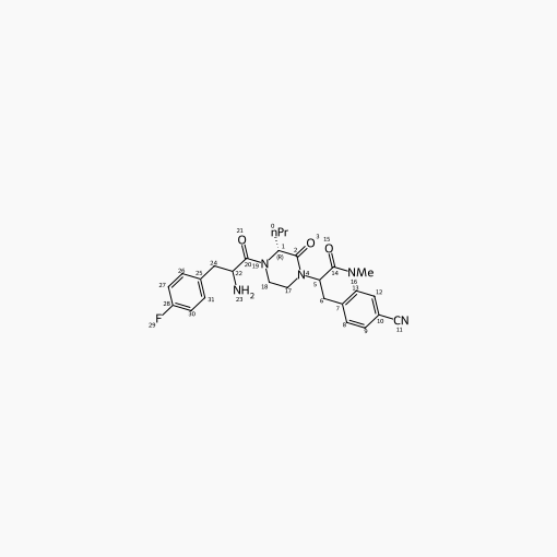 CCC[C@@H]1C(=O)N(C(Cc2ccc(C#N)cc2)C(=O)NC)CCN1C(=O)C(N)Cc1ccc(F)cc1